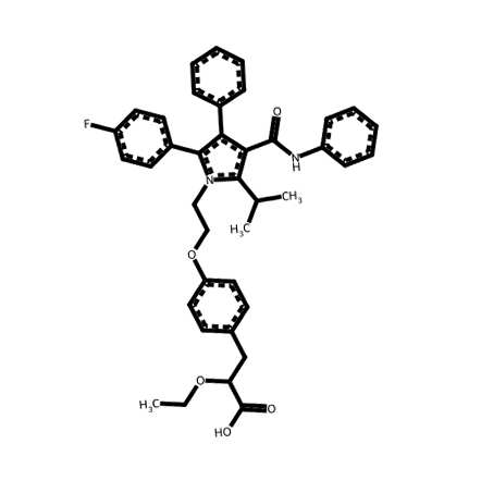 CCOC(Cc1ccc(OCCn2c(-c3ccc(F)cc3)c(-c3ccccc3)c(C(=O)Nc3ccccc3)c2C(C)C)cc1)C(=O)O